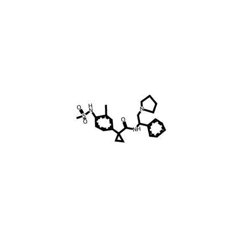 Cc1cc(C2(C(=O)NC(CN3CCCC3)c3ccccc3)CC2)ccc1NS(C)(=O)=O